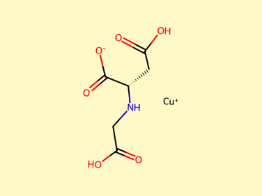 O=C(O)CN[C@@H](CC(=O)O)C(=O)[O-].[Cu+]